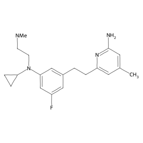 CNCCN(c1cc(F)cc(CCc2cc(C)cc(N)n2)c1)C1CC1